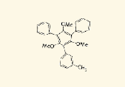 COc1c(-c2ccccc2)c(OC)c(-c2cccc(C)c2)c(OC)c1-c1ccccc1